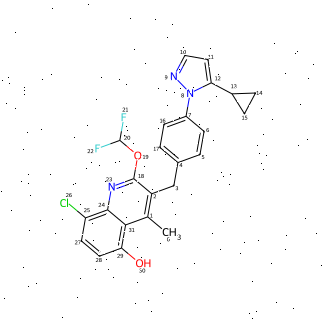 Cc1c(Cc2ccc(-n3nccc3C3CC3)cc2)c(OC(F)F)nc2c(Cl)ccc(O)c12